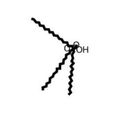 CCCCCCCCCCCCCCCCCCC(CCCCCCCCCCCCCCCC)(C(=O)O)C(=O)CCCCCCCCCCCCCCCCC